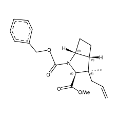 C=CC[C@]1(C)[C@H]2CC[C@H]2N(C(=O)OCc2ccccc2)[C@@H]1C(=O)OC